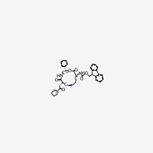 O=C(N[C@H]1CC/C=C\C[C@H](CC(=O)N2CCCC2)C(=O)NC[C@H](c2ccccc2)OC1=O)OCC1c2ccccc2-c2ccccc21